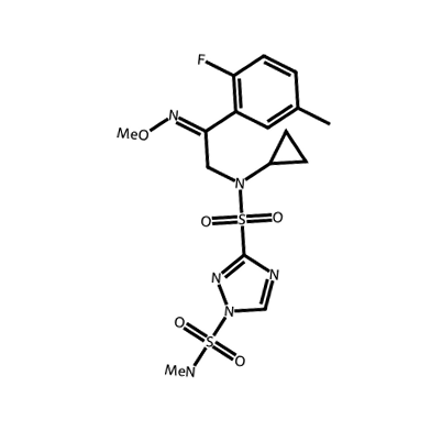 CNS(=O)(=O)n1cnc(S(=O)(=O)N(C/C(=N\OC)c2cc(C)ccc2F)C2CC2)n1